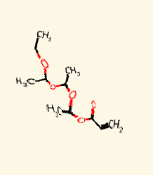 C=CC(=O)OC(C)OC(C)OC(C)OCC